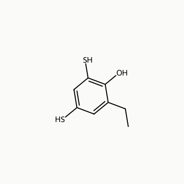 CCc1cc(S)cc(S)c1O